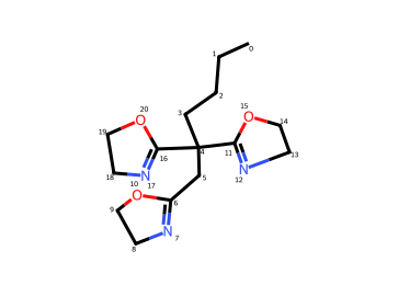 CCCCC(CC1=NCCO1)(C1=NCCO1)C1=NCCO1